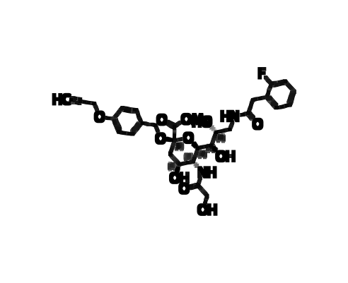 C#CCOc1ccc(CO[C@]2(C(=O)OC)C[C@H](O)[C@@H](NC(=O)CO)[C@H]([C@H](O)[C@H](O)CNC(=O)Cc3ccccc3F)O2)cc1